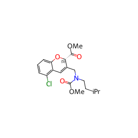 COC(=O)[C@H]1Oc2cccc(Cl)c2C=C1CN(CCC(C)C)C(=O)OC